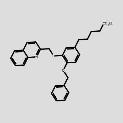 CCOC(=O)CCCCc1ccc(OCc2ccccc2)c(OCc2ccc3ccccc3n2)c1